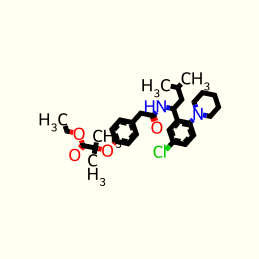 CCOC(=O)C(C)(C)Oc1ccc(CC(=O)NC(CC(C)C)c2cc(Cl)ccc2N2CCCCC2)cc1